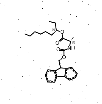 CCCCCC[C@@H](CC)OC(=O)[C@H](C)NC(=O)OCC1c2ccccc2-c2ccccc21